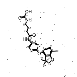 Cc1ccc(Oc2ncc(NC(=O)CCCNC(=O)O)cn2)c2c1OCC2(C)C